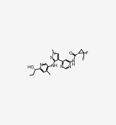 CC[C@H](O)c1cc(C)c(Nc2nn(C)cc2-c2cc(NC(=O)[C@H]3CC3(F)F)ncn2)cn1